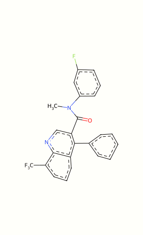 CN(C(=O)c1cnc2c(C(F)(F)F)cccc2c1-c1ccccc1)c1cccc(F)c1